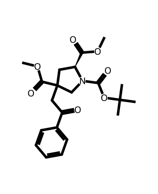 COC(=O)[C@@H]1CC(CC(=O)c2ccccc2)(C(=O)OC)CN1C(=O)OC(C)(C)C